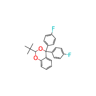 CC(C)(C)C1Oc2ccccc2C(c2ccc(F)cc2)(c2ccc(F)cc2)O1